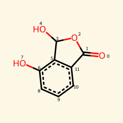 O=C1OC(O)c2c(O)cccc21